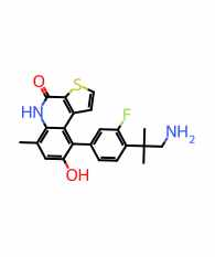 Cc1cc(O)c(-c2ccc(C(C)(C)CN)c(F)c2)c2c1[nH]c(=O)c1sccc12